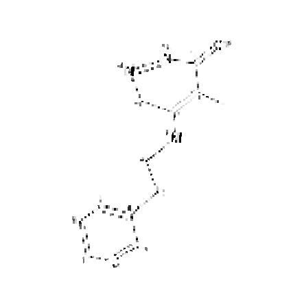 CC1=C(NCCc2ccccc2)CN=NC1=O